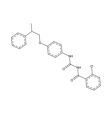 CC(COc1ccc(NC(=O)NC(=O)c2ccccc2Cl)cc1)c1ccccc1